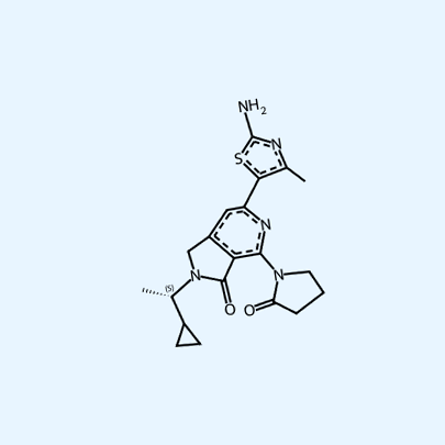 Cc1nc(N)sc1-c1cc2c(c(N3CCCC3=O)n1)C(=O)N([C@@H](C)C1CC1)C2